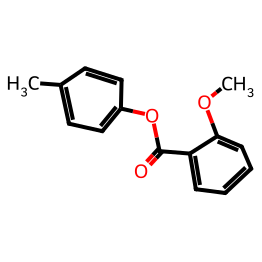 COc1ccccc1C(=O)Oc1ccc(C)cc1